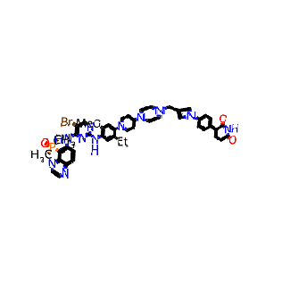 CCc1cc(Nc2ncc(Br)c(Nc3ccc4nccnc4c3P(C)(C)=O)n2)c(OC)cc1N1CCC(N2CCN(CC3CN(c4ccc(C5CCC(=O)NC5=O)cc4)C3)CC2)CC1